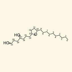 CCCCCCCCCCC1CCC(CCCC(O)CCCO)O1